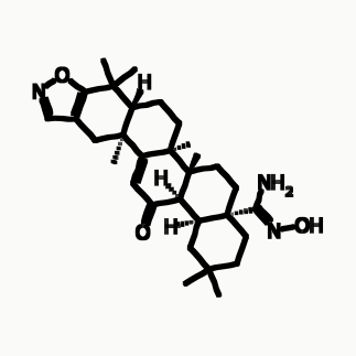 CC1(C)CC[C@]2(/C(N)=N/O)CC[C@]3(C)[C@H](C(=O)C=C4[C@@]5(C)Cc6cnoc6C(C)(C)[C@@H]5CC[C@]43C)[C@@H]2C1